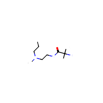 CCCN(CCNC(=O)C(C)(C)N)CCC(C)(C)C